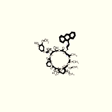 COC1C[C@H](/C=C(\C)[C@H]2OC(=O)[C@@H]3CCCCN3C(=O)C(=O)[C@]3(O)O[C@H]([C@@H](OC)C[C@@H](C)C/C(C)=C/[C@@H](C/C=C/c4c5ccccc5cc5ccccc45)C(=O)C[C@H](O)[C@H]2C)[C@@H](OC)C[C@H]3C)CC[C@H]1O